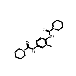 Cc1cc(NC(=O)N2CCCCC2)ccc1NC(=O)N1CCCCC1